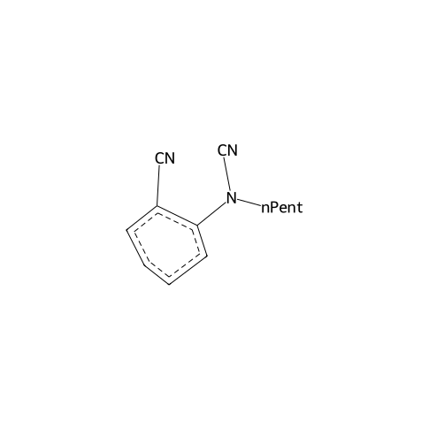 CCCCCN(C#N)c1ccccc1C#N